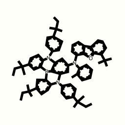 CCC(C)(C)c1ccc(N2c3ccc(C(C)(C)CC)cc3B3c4cc(C(C)(C)CC)ccc4N(c4ccc(C(C)(C)CC)cc4)c4cc(N(c5ccccc5C)c5cccc6c5oc5c(C(C)(C)C)cccc56)cc2c43)cc1